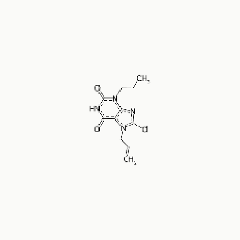 C=CCn1c(Cl)nc2c1c(=O)[nH]c(=O)n2CCC